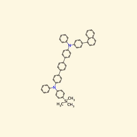 C[Si](C)(C)c1ccc(N(c2ccccc2)c2ccc(-c3ccc(-c4ccc(N(c5ccccc5)c5ccc(-c6cccc7ccccc67)cc5)cc4)cc3)cc2)cc1